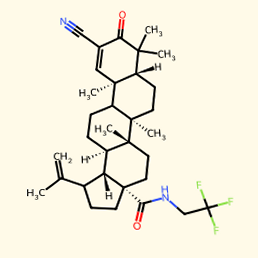 C=C(C)C1CC[C@]2(C(=O)NCC(F)(F)F)CC[C@]3(C)[C@H](CCC4[C@@]5(C)C=C(C#N)C(=O)C(C)(C)[C@@H]5CC[C@]43C)[C@@H]12